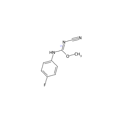 CO/C(=N\C#N)Nc1ccc(F)cc1